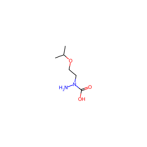 CC(C)OCCN(N)C(=O)O